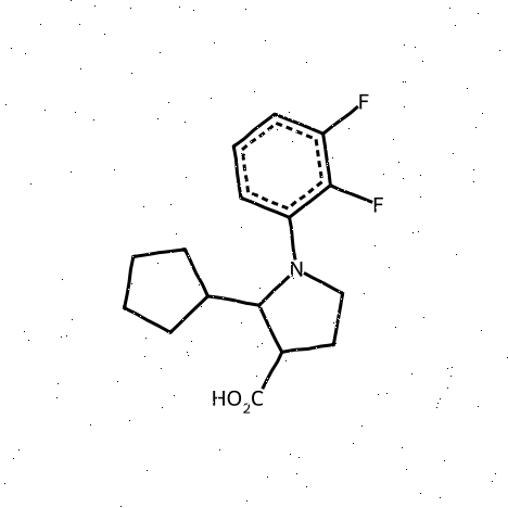 O=C(O)C1CCN(c2cccc(F)c2F)C1C1CCCC1